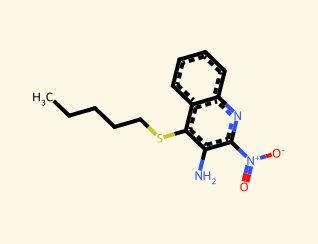 CCCCCSc1c(N)c([N+](=O)[O-])nc2ccccc12